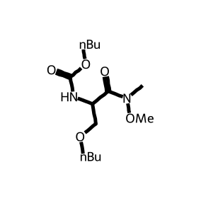 CCCCOCC(NC(=O)OCCCC)C(=O)N(C)OC